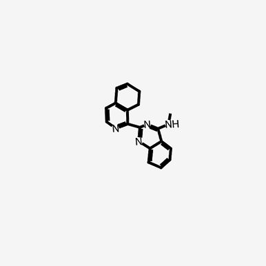 CNc1nc(-c2nccc3c2CCC=C3)nc2ccccc12